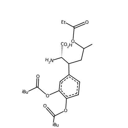 CCC(=O)OC(C)CC(c1ccc(OC(=O)C(C)CC)c(OC(=O)C(C)CC)c1)[C@H](N)C(=O)O